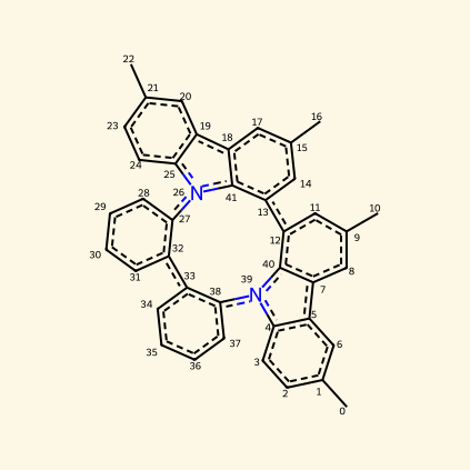 Cc1ccc2c(c1)c1cc(C)cc3c4cc(C)cc5c6cc(C)ccc6n(c6ccccc6c6ccccc6n2c13)c54